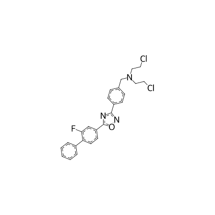 Fc1cc(-c2nc(-c3ccc(CN(CCCl)CCCl)cc3)no2)ccc1-c1ccccc1